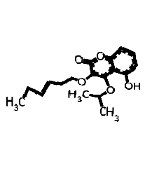 CC/C=C/CCOc1c(OC(C)C)c2c(O)cccc2oc1=O